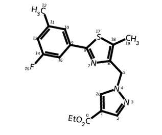 CCOC(=O)c1cnn(Cc2nc(-c3cc(C)cc(F)c3)sc2C)c1